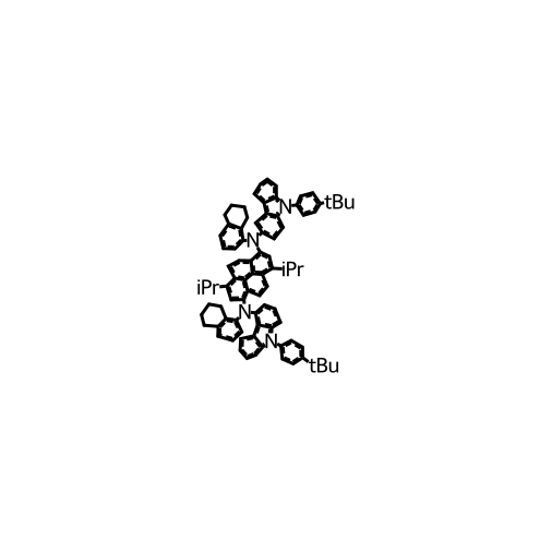 CC(C)c1cc(N(c2ccc3c(c2)c2ccccc2n3-c2ccc(C(C)(C)C)cc2)c2cccc3c2CCCC3)c2ccc3c(C(C)C)cc(N(c4cccc5c4CCCC5)c4cccc5c4c4ccccc4n5-c4ccc(C(C)(C)C)cc4)c4ccc1c2c34